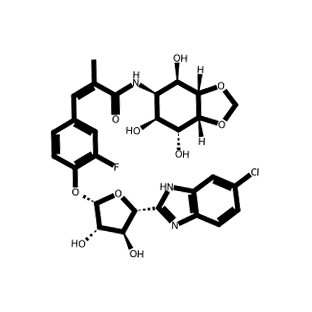 CC(=Cc1ccc(O[C@@H]2O[C@H](c3nc4ccc(Cl)cc4[nH]3)[C@@H](O)[C@@H]2O)c(F)c1)C(=O)N[C@@H]1[C@H](O)[C@@H](O)[C@H]2OCO[C@H]2[C@@H]1O